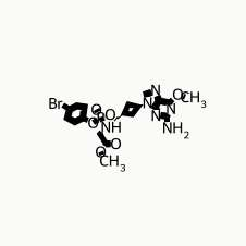 COC(=O)CNP(=O)(OC[C@H]1C[C@@H](n2cnc3c(OC)nc(N)nc32)C1)Oc1ccc(Br)cc1